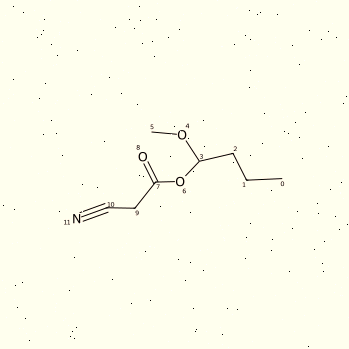 CCCC(OC)OC(=O)CC#N